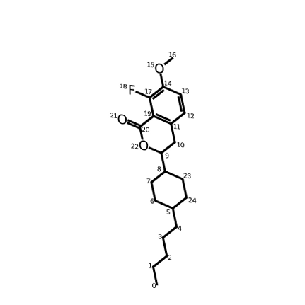 CCCCCC1CCC(C2Cc3ccc(OC)c(F)c3C(=O)O2)CC1